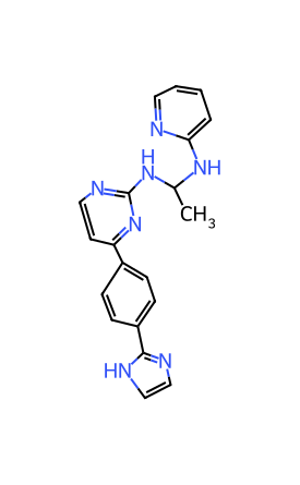 CC(Nc1ccccn1)Nc1nccc(-c2ccc(-c3ncc[nH]3)cc2)n1